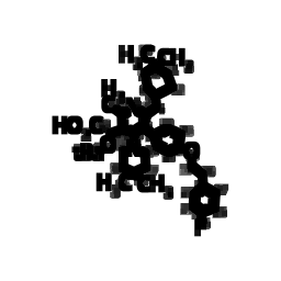 Cc1nc(CC2CCC(C)(C)CC2)c(-c2ccc(OCCc3ccc(F)cc3)cc2)c(N2CCC(C)(C)CC2)c1[C@H](OC(C)(C)C)C(=O)O